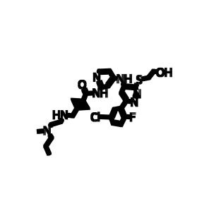 CCCN(C)CCNCC12CC1(C(=O)Nc1cc(Nc3cc(-c4cc(Cl)ccc4F)nnc3SCCO)ccn1)C2